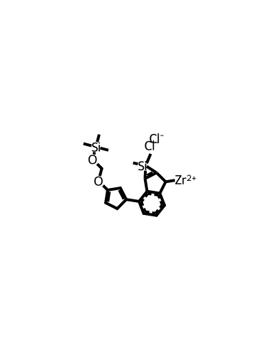 C[Si](C)(C)OCOC1=CCC(c2cccc3c2C2=C([CH]3[Zr+2])[Si]2(C)C)=C1.[Cl-].[Cl-]